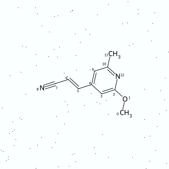 COc1cc(/C=C/C#N)cc(C)n1